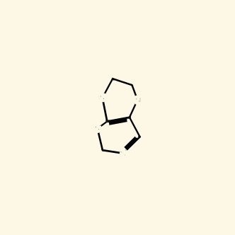 C1=NCNC2=C1NCCN2